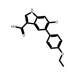 CCOc1ccc(-c2cc3c(C(=O)O)c[nH]c3cc2Cl)cc1